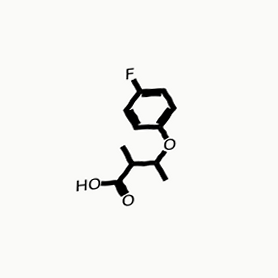 CC(Oc1ccc(F)cc1)C(C)C(=O)O